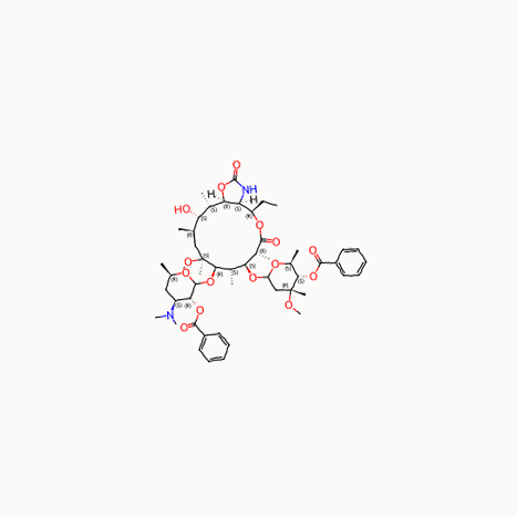 CC[C@H]1OC(=O)[C@H](C)[C@@H](OC2C[C@@](C)(OC)[C@@H](OC(=O)c3ccccc3)[C@H](C)O2)[C@H](C)[C@@H](OC2O[C@H](C)C[C@H](N(C)C)[C@H]2OC(=O)c2ccccc2)[C@@](C)(OC)C[C@@H](C)[C@H](O)[C@H](C)[C@H]2OC(=O)N[C@H]21